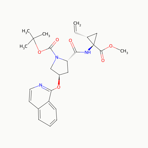 C=C[C@@H]1C[C@]1(NC(=O)[C@@H]1C[C@@H](Oc2nccc3ccccc23)CN1C(=O)OC(C)(C)C)C(=O)OC